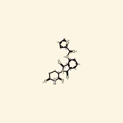 O=C1CCC(N2C(=O)c3cccc(OC(=O)c4ccco4)c3C2=O)C(=O)N1